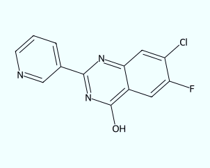 Oc1nc(-c2cccnc2)nc2cc(Cl)c(F)cc12